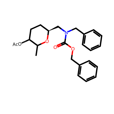 CC(=O)OC1CC[C@@H](CN(Cc2ccccc2)C(=O)OCc2ccccc2)OC1C